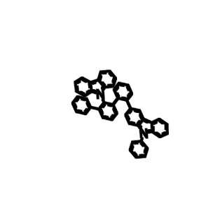 c1ccc(-c2cccc(-c3ccccc3-c3ccc4c(c3)c3ccccc3n4-c3ccccc3)c2-n2c3ccccc3c3ccccc32)cc1